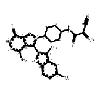 C=C(C#N)C(=O)NC1CCC(n2nc3c(=O)[nH]nc(N)c3c2-c2oc3ccc(C)cc3c2C)CC1